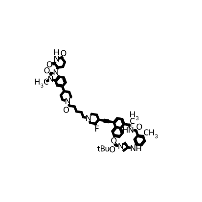 Cc1ccc(NC2CN(C(=O)OC(C)(C)C)C2)cc1C(=O)N[C@H](C)c1ccc(C#CC2CCN(CCCCC(=O)N3CCC(c4ccc5c(c4)n(C)c(=O)n5C4CCC(=O)NC4=O)CC3)CC2F)c2ccccc12